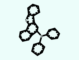 c1ccc(N(c2ccccc2)c2cc3c4ccccc4sc3c3ccccc23)cc1